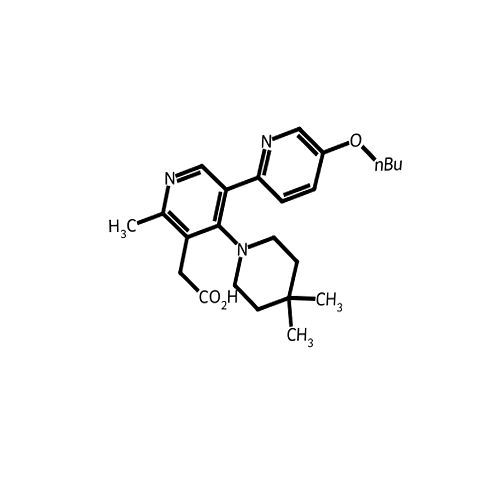 CCCCOc1ccc(-c2cnc(C)c(CC(=O)O)c2N2CCC(C)(C)CC2)nc1